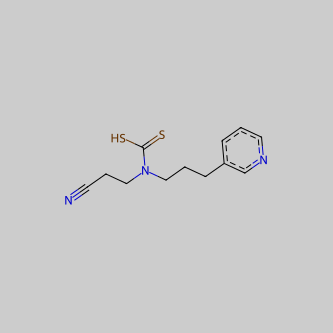 N#CCCN(CCCc1cccnc1)C(=S)S